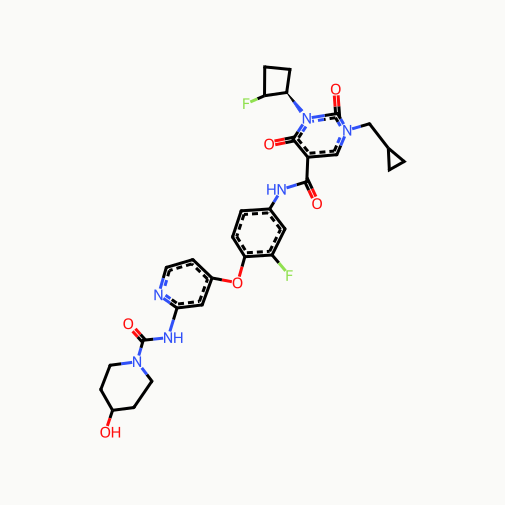 O=C(Nc1ccc(Oc2ccnc(NC(=O)N3CCC(O)CC3)c2)c(F)c1)c1cn(CC2CC2)c(=O)n([C@@H]2CCC2F)c1=O